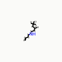 C=[C]CCNCCC(C)CC(C)(C)C